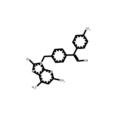 CCc1nc2c(C)cc(C)nc2n1Cc1ccc(C(=CC#N)c2ccc(C(F)(F)F)cc2)cc1